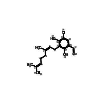 CC(C)=CCCC(C)=CCc1c(O)c(Cl)cc(C=O)c1O